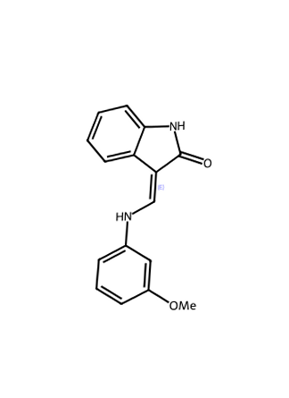 COc1cccc(N/C=C2/C(=O)Nc3ccccc32)c1